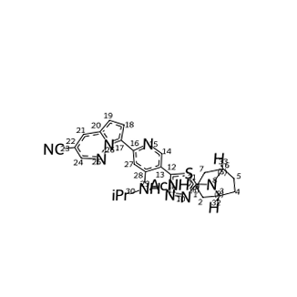 CC(=O)N[C@H]1C[C@H]2CC[C@@H](C1)N2c1nnc(-c2cnc(-c3ccc4cc(C#N)cnn34)cc2NC(C)C)s1